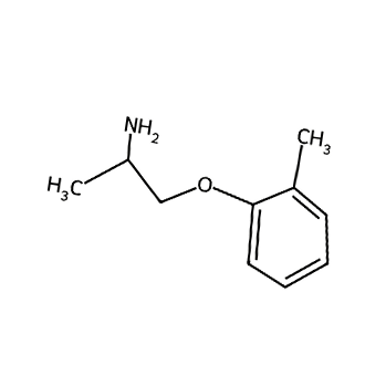 Cc1ccccc1OCC(C)N